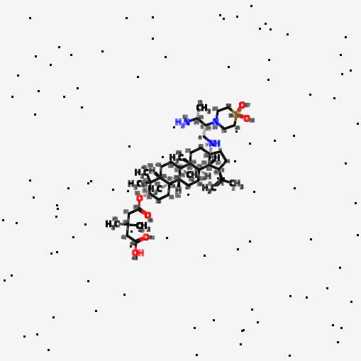 C=C(C)[C@@H]1CC[C@]2(NC[C@H]([C@@H](C)N)N3CCS(=O)(=O)CC3)CC[C@]3(C)[C@H](CC[C@@H]4[C@@]5(C)CC[C@H](OC(=O)CC(C)(C)CC(=O)O)C(C)(C)[C@@H]5CC[C@]43C)[C@@H]12